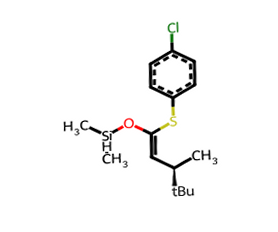 C[C@H](C=C(O[SiH](C)C)Sc1ccc(Cl)cc1)C(C)(C)C